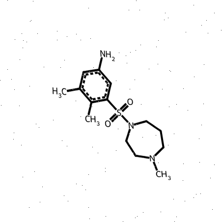 Cc1cc(N)cc(S(=O)(=O)N2CCCN(C)CC2)c1C